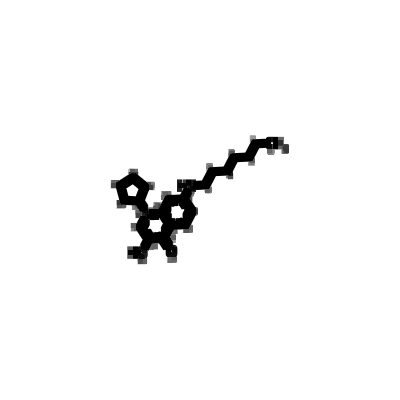 CCCCCCCNc1ccc2c(=O)c(O)cn(C3CCCC3)c2c1